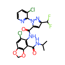 CC(C)NC(=O)c1c(NC(=O)c2cc(C(F)F)nn2-c2ncccc2Cl)c(Cl)cc2c1OCO2